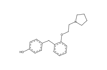 Oc1ccc(Cc2[c]cccc2OCCN2CCCC2)cc1